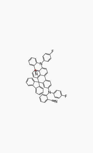 N#Cc1ccccc1N(c1ccc(F)cc1)c1ccc2c(c1)C1(c3ccccc3-c3ccccc31)c1cccc3c(N(c4ccc(F)cc4)c4ccccc4C#N)ccc-2c13